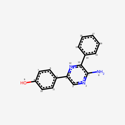 Nc1ncc(-c2ccc(O)cc2)nc1-c1ccccc1